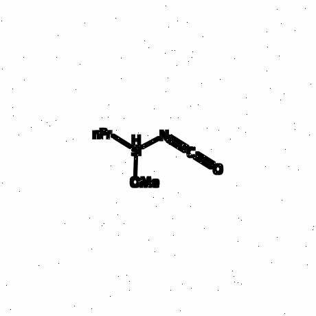 CCC[SiH](N=C=O)OC